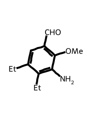 CCc1cc(C=O)c(OC)c(N)c1CC